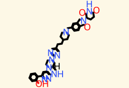 O=C1CCC(N2Cc3cc(CN4CCC(CCc5cnc(N6CCN7c8cc(-c9ccccc9O)nnc8NC[C@H]7C6)nc5)CC4)ccc3C2=O)C(=O)N1